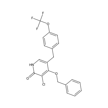 O=c1[nH]cc(Cc2ccc(OC(F)(F)F)cc2)c(OCc2ccccc2)c1Cl